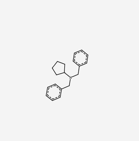 c1ccc(CN(Cc2ccccc2)[C]2CCCC2)cc1